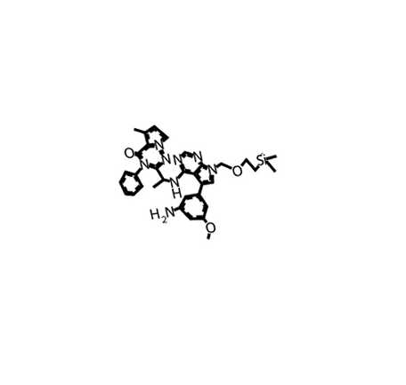 COc1cc(N)cc(-c2cn(COCC[Si](C)(C)C)c3ncnc(NC(C)c4nn5ccc(C)c5c(=O)n4-c4ccccc4)c23)c1